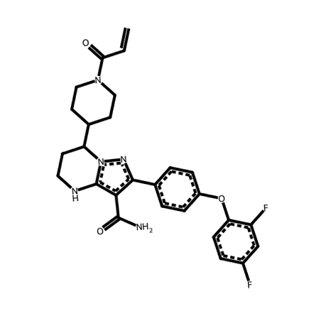 C=CC(=O)N1CCC(C2CCNc3c(C(N)=O)c(-c4ccc(Oc5ccc(F)cc5F)cc4)nn32)CC1